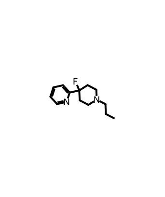 CCCN1CCC(F)(c2ccccn2)CC1